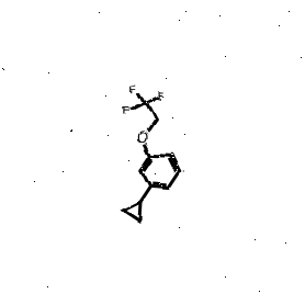 FC(F)(F)COc1c[c]cc(C2CC2)c1